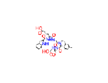 Cc1ccc2c(c1)CCN(C(=O)CNC(=O)[C@H](CCCC(=O)O)NC(=O)[C@@H]1Cc3ccccc3N1)[C@@H]2C(=O)N[C@H](C=O)CC(=O)O